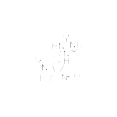 Cc1c(N=C=O)cccc1N=C=O.O=c1[nH]c(=O)[nH]c(=O)[nH]1